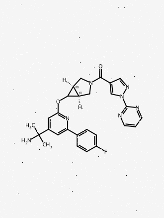 CC(C)(N)c1cc(OC2[C@H]3CN(C(=O)c4cnn(-c5ncccn5)c4)C[C@@H]23)nc(-c2ccc(F)cc2)c1